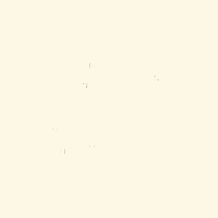 CCCCn1c(=O)c(OC=O)c(O)c2ccc([N+](=O)[O-])cc21